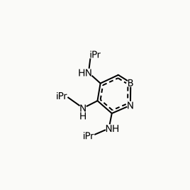 CC(C)Nc1cbnc(NC(C)C)c1NC(C)C